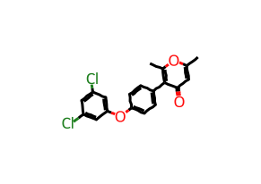 Cc1cc(=O)c(-c2ccc(Oc3cc(Cl)cc(Cl)c3)cc2)c(C)o1